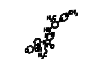 C=CCn1c(=O)c2cnc(Nc3ccc(N4CCN(C)CC4)c(C)c3)nc2n1-c1cccc(C2(O)CCOCC2)n1